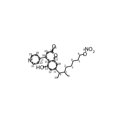 CC(CCCCCO[N+](=O)[O-])C(C)c1cc(O)c2c(-c3ccncc3)cc(=O)oc2c1